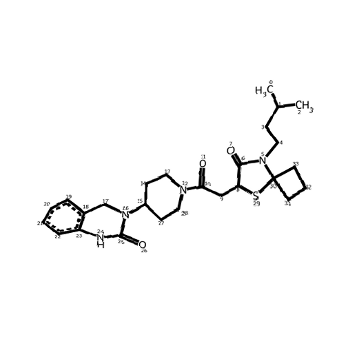 CC(C)CCN1C(=O)C(CC(=O)N2CCC(N3Cc4ccccc4NC3=O)CC2)SC12CCC2